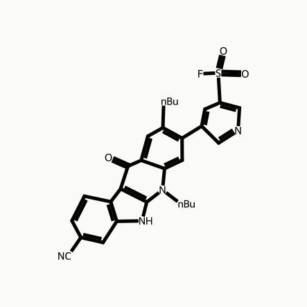 CCCCc1cc2c(=O)c3c4ccc(C#N)cc4[nH]c3n(CCCC)c2cc1-c1cncc(S(=O)(=O)F)c1